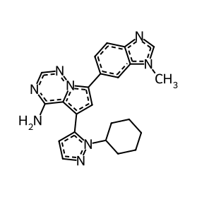 Cn1cnc2ccc(-c3cc(-c4ccnn4C4CCCCC4)c4c(N)ncnn34)cc21